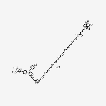 Cc1cc(C2CCC(N3C[C@H](COCc4cn(CCOCCOCCOCCOCCOCCOCCOCCOCCOCCOCCOCCNC(=O)CCCC[C@@H]5SC[C@@H]6NC(=O)N[C@@H]65)nn4)OC[C@@H]3Cc3ccc(Cl)cc3)CC2)nn1C.Cl